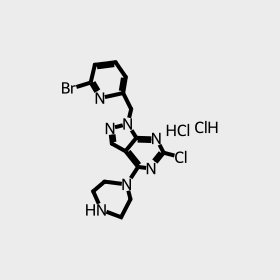 Cl.Cl.Clc1nc(N2CCNCC2)c2cnn(Cc3cccc(Br)n3)c2n1